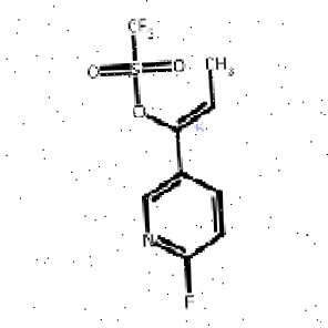 C/C=C(\OS(=O)(=O)C(F)(F)F)c1ccc(F)nc1